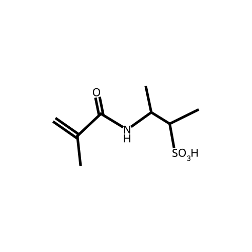 C=C(C)C(=O)NC(C)C(C)S(=O)(=O)O